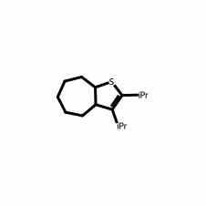 CC(C)C1=C(C(C)C)C2CCCCCC2S1